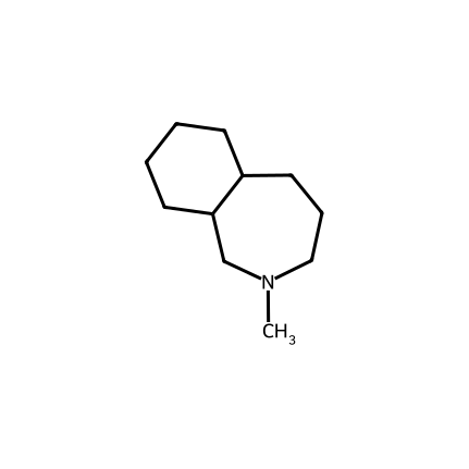 CN1CCCC2CCCCC2C1